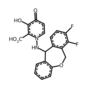 O=C(O)c1c(O)c(=O)ccn1NC1c2ccccc2OCc2c1ccc(F)c2F